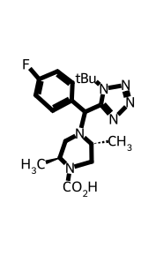 C[C@@H]1CN(C(=O)O)[C@@H](C)CN1C(c1ccc(F)cc1)c1nnnn1C(C)(C)C